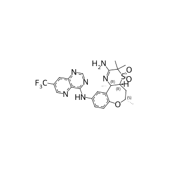 C[C@H]1C[C@@H]2[C@](C)(N=C(N)C(C)(C)S2(=O)=O)c2cc(Nc3ncnc4cc(C(F)(F)F)cnc34)ccc2O1